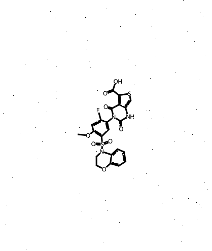 COc1cc(F)c(-n2c(=O)[nH]c3csc(C(=O)O)c3c2=O)cc1S(=O)(=O)N1CCOc2ccccc21